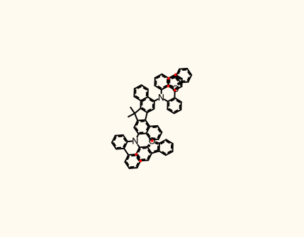 CC1(C)c2cc(N(c3ccccc3-c3ccccc3)c3cccc4c3oc3ccccc34)c3ccccc3c2-c2cc(N(c3ccccc3-c3ccccc3)c3cccc4c3oc3ccccc34)c3ccccc3c21